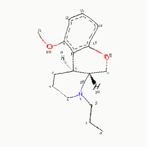 CCCN1CCC[C@H]2c3c(OC)cccc3OC[C@@H]21